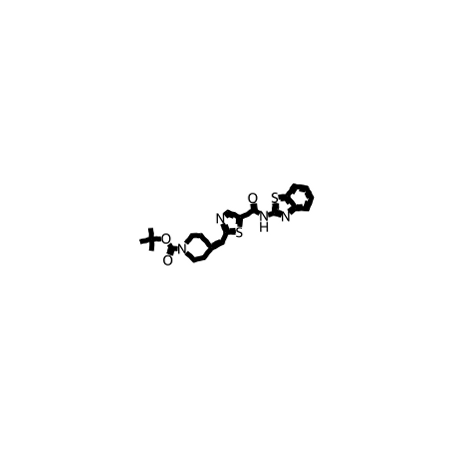 CC(C)(C)OC(=O)N1CCC(=Cc2ncc(C(=O)Nc3nc4ccccc4s3)s2)CC1